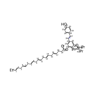 CCC=CCC=CCC=CCC=CCC=CCC=CCCC(=O)Oc1cc(/C=C/c2ccc(O)cc2)cc(O[Si](C(C)C)(C(C)C)C(C)C)c1